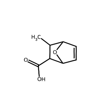 CC1C2C=CC(O2)C1C(=O)O